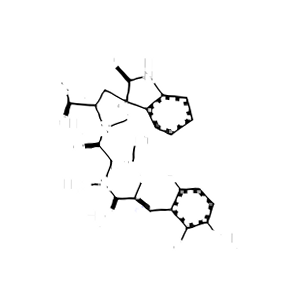 Bc1ccc(F)c(/C=C(\C)C(=C)N(C)[C@@H](CC(C)C)C(=O)N2C[C@]3(CC2C(=C)N)C(=O)Nc2ccccc23)c1C